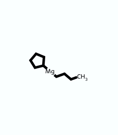 CCC[CH2][Mg][CH]1CCCC1